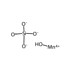 [O-][Si]([O-])([O-])[O-].[OH][Mn+4]